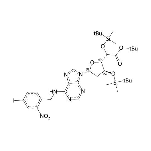 CC(C)(C)OC(=O)C(O[Si](C)(C)C(C)(C)C)[C@H]1O[C@@H](n2cnc3c(NCc4ccc(I)cc4[N+](=O)[O-])ncnc32)C[C@@H]1O[Si](C)(C)C(C)(C)C